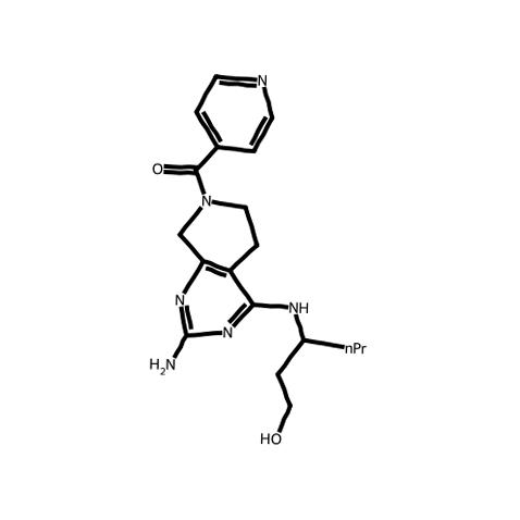 CCCC(CCO)Nc1nc(N)nc2c1CCN(C(=O)c1ccncc1)C2